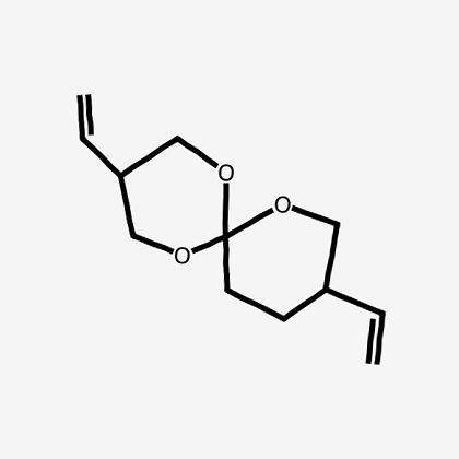 C=CC1CCC2(OC1)OCC(C=C)CO2